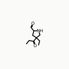 CCC(=O)C1(CC)CNC(C=O)C1